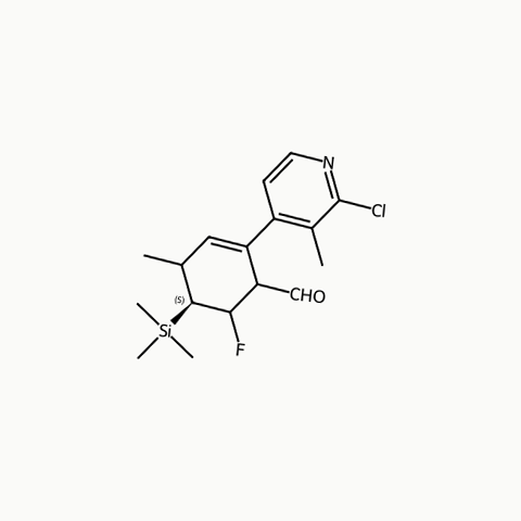 Cc1c(C2=CC(C)[C@H]([Si](C)(C)C)C(F)C2C=O)ccnc1Cl